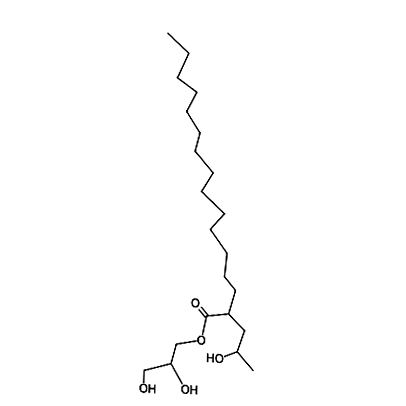 CCCCCCCCCCCCCCC(CC(C)O)C(=O)OCC(O)CO